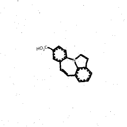 O=C(O)c1ccc2c(c1)C=Cc1cccc3c1N2CC3